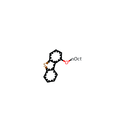 CCCCCCCCOc1cccc2sc3ccccc3c12